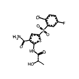 CC(O)C(=O)Nc1sc(S(=O)(=O)c2cc(F)ccc2Cl)cc1C(N)=O